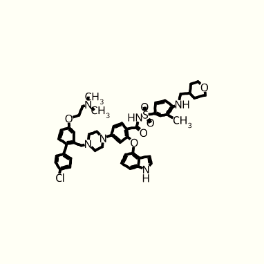 Cc1cc(S(=O)(=O)NC(=O)c2ccc(N3CCN(Cc4cc(OCCN(C)C)ccc4-c4ccc(Cl)cc4)CC3)cc2Oc2cccc3[nH]ccc23)ccc1NCC1CCOCC1